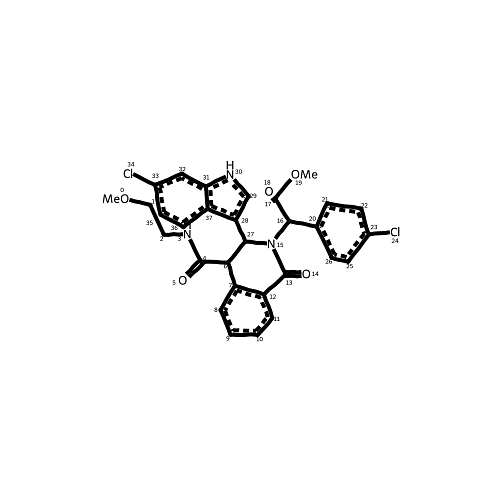 COCCNC(=O)C1c2ccccc2C(=O)N(C(C(=O)OC)c2ccc(Cl)cc2)C1c1c[nH]c2cc(Cl)ccc12